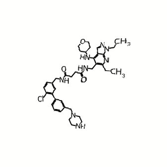 CCc1nc2c(cnn2CC)c(NC2CCOCC2)c1CNC(=O)CCC(=O)NCc1ccc(Cl)c(-c2cccc(CN3CCNCC3)c2)c1